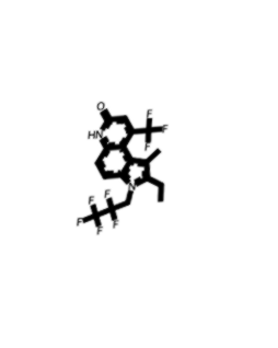 CCc1c(C)c2c3c(C(F)(F)F)cc(=O)[nH]c3ccc2n1CC(F)(F)C(F)(F)F